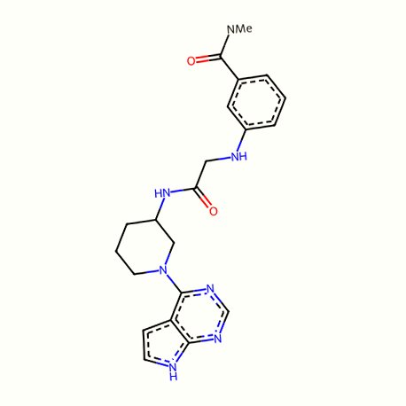 CNC(=O)c1cccc(NCC(=O)NC2CCCN(c3ncnc4[nH]ccc34)C2)c1